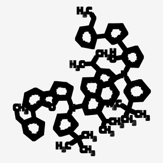 CCc1ccccc1-c1cccc(-c2cccc(N(c3cccc(C(C)(C)C)c3)c3cc(C(C)C)c4ccc5c(N(c6cccc(C(C)(C)C)c6)c6cccc7c6oc6c(-c8ccccc8CC)cccc67)cc(C(C)C)c6ccc3c4c65)c2O)c1